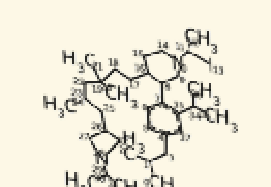 CC(C)Cc1ccc(C2CN([C@H](C)I)CCC2CCC(C)(C)C[C@@H](C)CC2CN(C(C)C)C2)c(C(C)C)c1